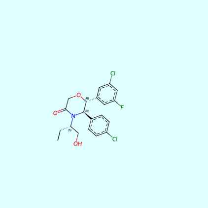 CC[C@@H](CO)N1C(=O)CO[C@H](c2cc(F)cc(Cl)c2)[C@H]1c1ccc(Cl)cc1